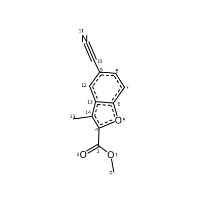 COC(=O)c1oc2ccc(C#N)cc2c1C